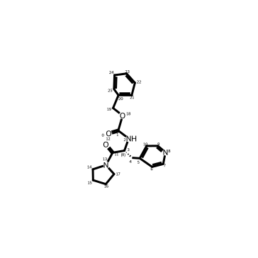 O=C(N[C@H](Cc1ccncc1)C(=O)N1CCCC1)OCc1ccccc1